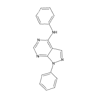 c1ccc(Nc2ncnc3c2cnn3-c2ccccc2)cc1